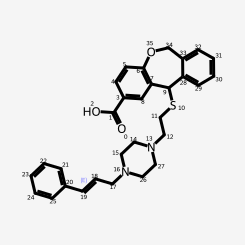 O=C(O)c1ccc2c(c1)C(SCCN1CCN(C/C=C/c3ccccc3)CC1)c1ccccc1CO2